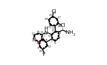 NCc1ccc(-c2cccc(F)c2)c(Nc2ccncn2)c1-c1ccc(Cl)cc1Cl